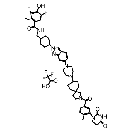 Cc1ccc(C(=O)N2CCC3(CCC(N4CCN(c5ccc6cn(C7CCC(CNC(=O)c8cc(F)c(O)c(F)c8F)CC7)nc6c5)CC4)CC3)C2)cc1N1CCC(=O)NC1=O.O=C(O)C(F)(F)F